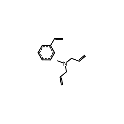 C=CCN(C)CC=C.C=Cc1ccccc1